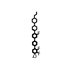 CCCC1CCC(C2CC=C(c3ccc(-c4ccc(-c5ccc(OC)c(F)c5F)cc4)cc3F)CC2)CC1